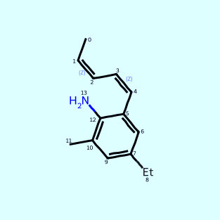 C/C=C\C=C/c1cc(CC)cc(C)c1N